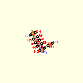 Nc1cc(O)ccc1S(=O)(=O)c1ccc(O)cc1N.O=S(=O)(c1c(Br)cc(O)cc1Br)c1c(Br)cc(O)cc1Br.O=S(=O)(c1ccc(O)cc1)c1ccc(O)cc1.O=S(=O)(c1ccc(O)cc1)c1ccccc1O.O=S(=O)(c1ccc(O)cc1Br)c1ccc(O)cc1Br.O=S(=O)(c1ccc(O)cc1Cl)c1ccc(O)cc1Cl